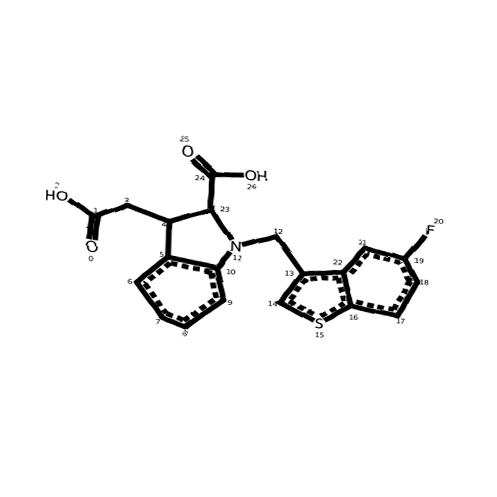 O=C(O)CC1c2ccccc2N(Cc2csc3ccc(F)cc23)C1C(=O)O